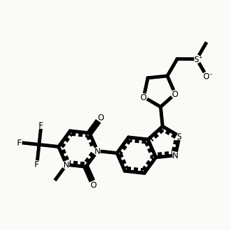 Cn1c(C(F)(F)F)cc(=O)n(-c2ccc3nsc(C4OCC(C[S+](C)[O-])O4)c3c2)c1=O